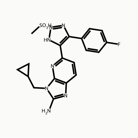 CS(=O)(=O)O.Nc1nc2ccc(-c3[nH]nnc3-c3ccc(F)cc3)nc2n1CC1CC1